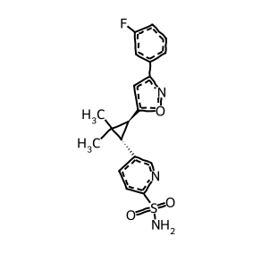 CC1(C)[C@@H](c2ccc(S(N)(=O)=O)nc2)[C@@H]1c1cc(-c2cccc(F)c2)no1